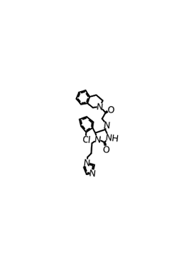 O=C(CN=C1NC(=O)N(CCCn2ccnc2)C1c1ccccc1Cl)N1CCc2ccccc2C1